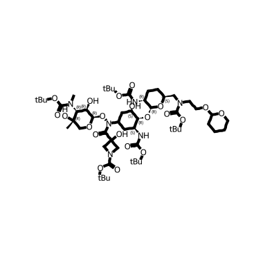 CN(C(=O)OC(C)(C)C)[C@@H]1[C@@H](O)[C@@H](ON(C(=O)C2(O)CN(C(=O)OC(C)(C)C)C2)C2C[C@H](NC(=O)OC(C)(C)C)[C@@H](O[C@H]3O[C@H](CN(CCOC4CCCCO4)C(=O)OC(C)(C)C)CC[C@H]3NC(=O)OC(C)(C)C)[C@@H](O)C2)OC[C@]1(C)O